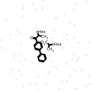 CCCCCCC(C)C(=O)O.CCCCCCC(C)C(=O)c1ccc(-c2ccccc2)cc1